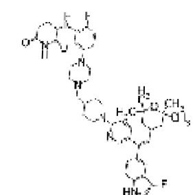 CC1(C)CC(C=C(c2ccc(N3CCC(CN4CCN(c5ccc(F)c(NC6CCC(=O)NC6=O)c5)CC4)CC3)nc2)c2ccc3[nH]cc(F)c3c2)CC(C)(C)O1